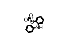 O=[N+]([O-])Oc1ccccc1Nc1ccccc1